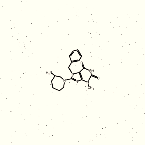 Cn1c(=O)[nH]c(=O)c2c1nc(N1CCCCC(N)C1)n2Cc1ccccc1